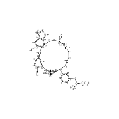 CC(Cc1cccc(C2CCCCCNC(=O)CCc3c(c(F)cc4[nH]ccc34)Oc3ccc(F)c(c3)-c3ncc2[nH]3)c1)C(=O)O